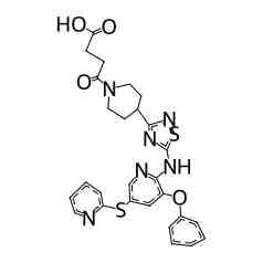 O=C(O)CCC(=O)N1CCC(c2nsc(Nc3ncc(Sc4ccccn4)cc3Oc3ccccc3)n2)CC1